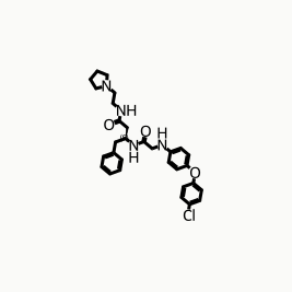 O=C(C[C@H](Cc1ccccc1)NC(=O)CNc1ccc(Oc2ccc(Cl)cc2)cc1)NCCN1CCCC1